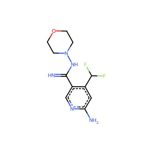 N=C(NN1CCOCC1)c1cnc(N)cc1C(F)F